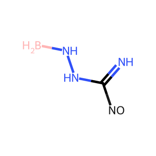 BNNC(=N)N=O